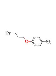 CCc1ccc(OCCCC(C)C)cc1